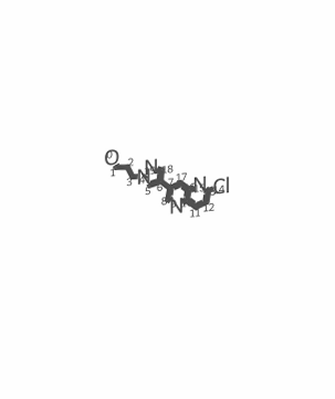 O=CCCn1cc(-c2cnc3ccc(Cl)nc3c2)cn1